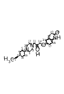 CC#Cc1ccc(N2CCN(C[C@@H](O)COc3ccc4c(c3)CCC(=O)N4)CC2)cc1